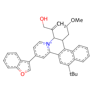 C=C(CO)C1C(CCOC)c2c(cc(C(C)(C)C)c3ccccc23)-c2cc(-c3coc4ccccc34)cc[n+]21